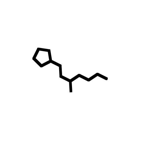 CCCCC(C)CCC1CCCC1